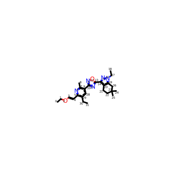 CCOC=Cc1nc(C)c(-c2noc(-c3nn(CC)c4c3CCC(C)(C)C4)n2)cc1CC